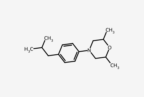 CC(C)Cc1ccc(N2CC(C)OC(C)C2)cc1